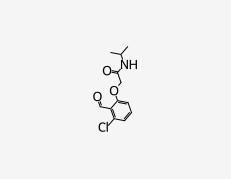 CC(C)NC(=O)COc1cccc(Cl)c1C=O